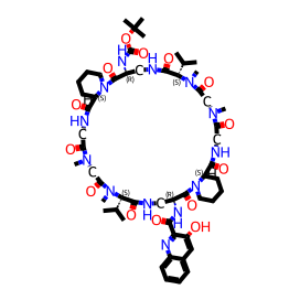 CC(C)[C@H]1C(=O)NC[C@@H](NC(=O)c2nc3ccccc3cc2O)C(=O)N2CCCC[C@H]2C(=O)NCC(=O)N(C)CC(=O)N(C)[C@@H](C(C)C)C(=O)NC[C@@H](NC(=O)OC(C)(C)C)C(=O)N2CCCC[C@H]2C(=O)NCC(=O)N(C)CC(=O)N1C